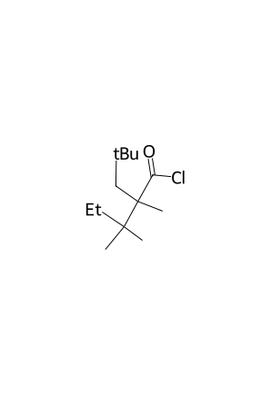 CCC(C)(C)C(C)(CC(C)(C)C)C(=O)Cl